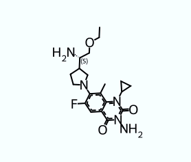 CCOC[C@@H](N)C1CCN(c2c(F)cc3c(=O)n(N)c(=O)n(C4CC4)c3c2C)C1